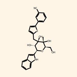 C[C@@]1(O)[C@@H](CO)O[C@@H](c2cc3ccccc3[nH]2)[C@H](O)[C@]1(O)Cc1ccc(-c2cccc(C#N)c2)s1